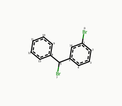 Brc1cccc(C(Br)c2ccccc2)c1